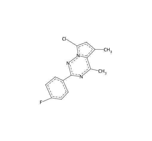 Cc1cc(Cl)n2nc(-c3ccc(F)cc3)nc(C)c12